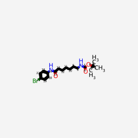 CC(C)(C)OC(=O)NCCCCCCC(=O)Nc1ccc(Br)cc1